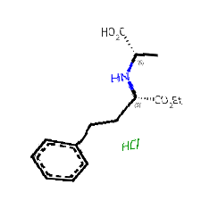 CCOC(=O)[C@H](CCc1ccccc1)N[C@@H](C)C(=O)O.Cl